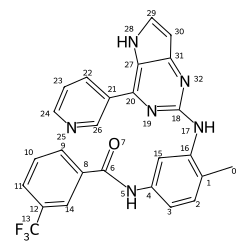 Cc1ccc(NC(=O)c2cccc(C(F)(F)F)c2)cc1Nc1nc(-c2cccnc2)c2[nH]ccc2n1